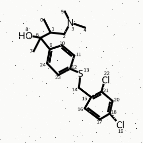 CC(CN(C)C)C(C)(O)c1ccc(SCc2ccc(Cl)cc2Cl)cc1